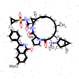 COc1ccc2c(O[C@@H]3C[C@H]4C(=O)N[C@]5(C(=O)NS(=O)(=O)C6CC6)C[C@H]5/C=C\CC[C@@H](C)C[C@@H](C)[C@H](N(C(=O)O)[C@H]5CC6C[C@H]6C5)C(=O)N4C3)nc(-c3ccc(F)cc3)cc2c1